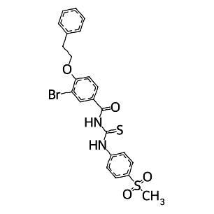 CS(=O)(=O)c1ccc(NC(=S)NC(=O)c2ccc(OCCc3ccccc3)c(Br)c2)cc1